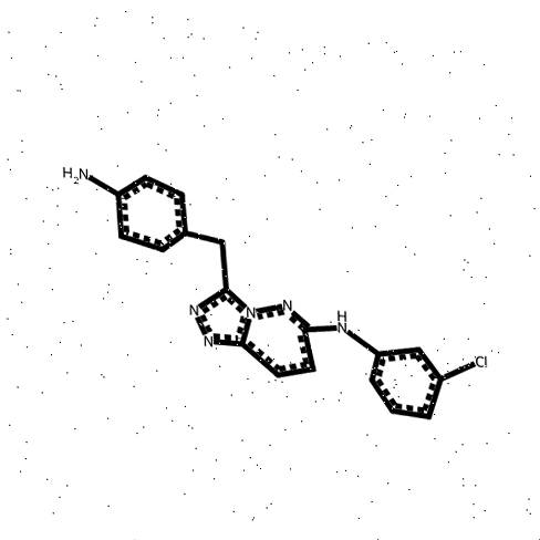 Nc1ccc(Cc2nnc3ccc(Nc4cccc(Cl)c4)nn23)cc1